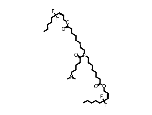 CCCCCC(F)(F)/C=C\COC(=O)CCCCCCCP(CCCCCCCC(=O)OC/C=C\C(F)(F)CCCCC)C(=O)CCCCN(C)C